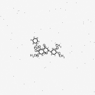 COc1ccc(-c2cc(=O)c3c(OCc4ccccc4)c(OC)c(OC)cc3o2)cc1OC